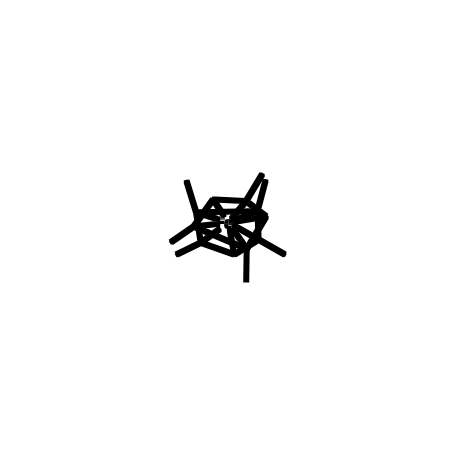 C[C]12[CH]3[C]4(C)[C]5(C)[CH]1[Fe]32451678[CH]2[C]1(C)[C]6(C)[C]7(C)[C]28C